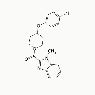 Cn1c(C(=O)N2CCC(Oc3ccc(Cl)cc3)CC2)nc2ccccc21